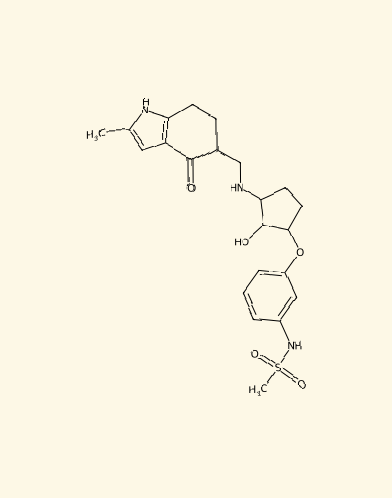 Cc1cc2c([nH]1)CCC(CNC1CCC(Oc3cccc(NS(C)(=O)=O)c3)C1O)C2=O